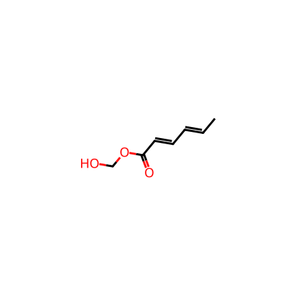 C/C=C/C=C/C(=O)OCO